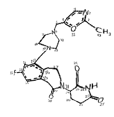 Cc1ncc(CN2CCN(c3cc(F)cc4c3CN(C3CCC(=O)NC3=O)C4=O)CC2)o1